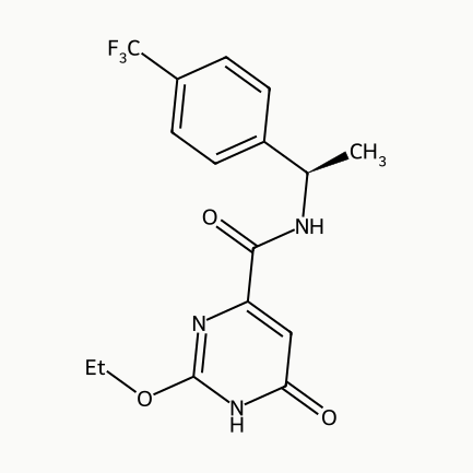 CCOc1nc(C(=O)N[C@H](C)c2ccc(C(F)(F)F)cc2)cc(=O)[nH]1